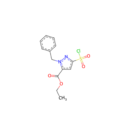 CCOC(=O)c1cc(S(=O)(=O)Cl)nn1Cc1ccccc1